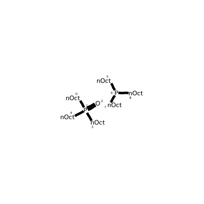 CCCCCCCCP(=O)(CCCCCCCC)CCCCCCCC.CCCCCCCCP(CCCCCCCC)CCCCCCCC